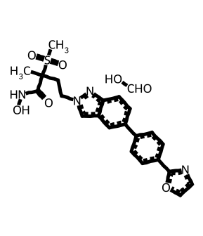 CC(CCn1cc2cc(-c3ccc(-c4ncco4)cc3)ccc2n1)(C(=O)NO)S(C)(=O)=O.O=CO